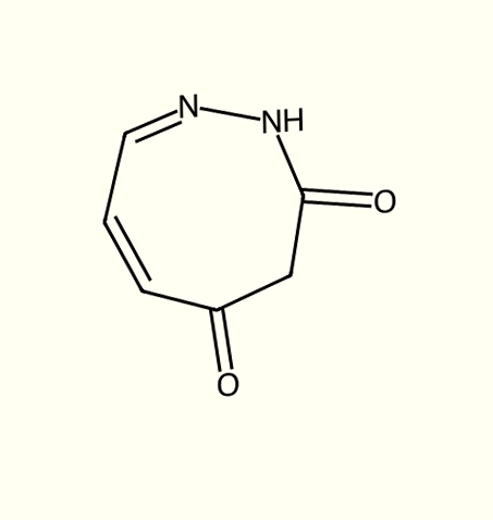 O=C1C=CC=NNC(=O)C1